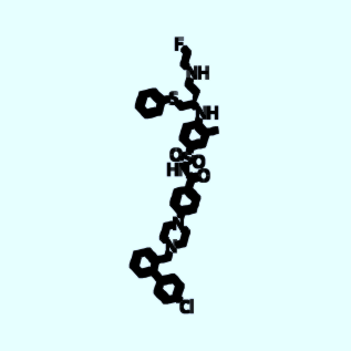 Cc1cc(S(=O)(=O)NC(=O)c2ccc(N3CCN(Cc4ccccc4-c4ccc(Cl)cc4)CC3)cc2)ccc1N[C@H](CCNCCF)CSc1ccccc1